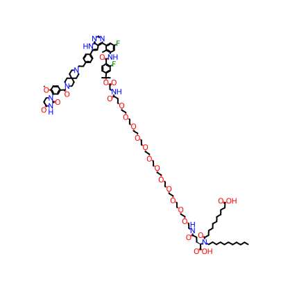 CCCCCCCCCCCN(C(=O)CCCCCCCCCC(=O)O)[C@H](CCC(=O)NCCOCCOCCOCCOCCOCCOCCOCCOCCOCCOCCOCCOCCC(=O)NCC(=O)OC(C)(C)c1ccc(C(=O)Nc2cc(F)cc(-c3ncnc4[nH]c(-c5ccc(CCN6CCC7(CC6)CCN(C(=O)c6ccc(OC)c(N8CCC(=O)NC8=O)c6)CC7)cc5)cc34)c2C)c(F)c1)C(=O)O